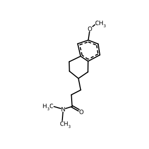 COc1ccc2c(c1)CCC(CCC(=O)N(C)C)C2